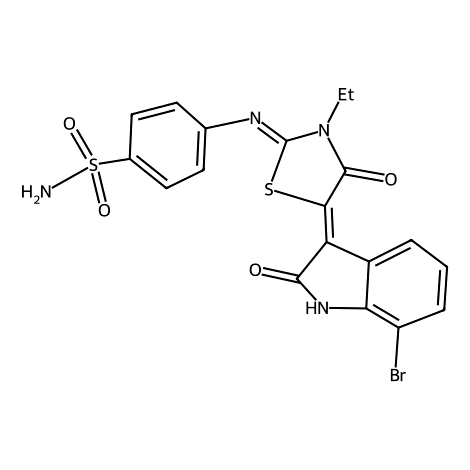 CCN1C(=O)/C(=C2/C(=O)Nc3c(Br)cccc32)S/C1=N\c1ccc(S(N)(=O)=O)cc1